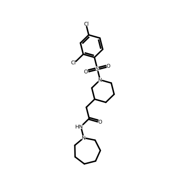 O=C(CC1CCCN(S(=O)(=O)c2ccc(Cl)cc2Cl)C1)NN1CCCCCC1